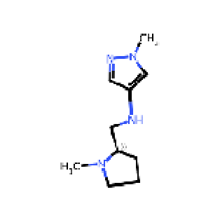 CN1CCC[C@@H]1CNc1cnn(C)c1